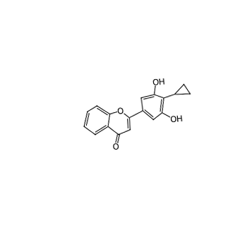 O=c1cc(-c2cc(O)c(C3CC3)c(O)c2)oc2ccccc12